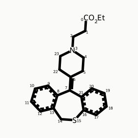 CCOC(=O)CCN1CCC(=C2c3ccccc3CSc3ccccc32)CC1